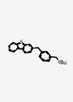 CC(C)(C)Cc1cccc(Cc2ccc3c(c2)sc2ccccc23)c1